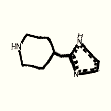 [c]1c[nH]c(C2CCNCC2)n1